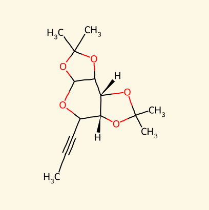 CC#CC1OC2OC(C)(C)OC2[C@@H]2OC(C)(C)O[C@H]12